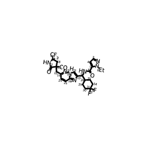 CCn1nccc1C(=O)NC(c1cn2nc(CC3(C(=O)O)C[C@H](C(F)(F)F)NC3=O)ccc2n1)C1CCC(F)(F)CC1